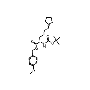 COc1ccc(COC(=O)[C@H](CCCCN2CCCC2)NC(=O)OC(C)(C)C)cc1